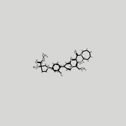 CCC1=CC(C(=O)N2CCCCC[C@H]2C)=NC2=CC(c3ccc(N4CCC(C)(C(=O)OC)C4)cc3F)C=CN12